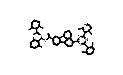 C=C(NC(/N=C(\C)c1c(C)cccc1C)c1c(C)cccc1C)c1ccc2c(c1)-c1cccc3c(-c4nc(-c5c(C)cccc5C)nc(-c5c(C)cccc5C)n4)ccc-2c13